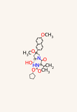 C=C(C)[C@H](NC(=O)OC1CCCC1)C(=O)N1C[C@](OC)(c2ccc3cc(OC)ccc3c2)C[C@H]1CO